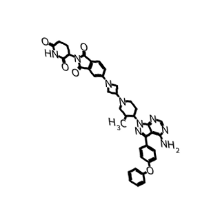 CC1CN(C2CN(c3ccc4c(c3)C(=O)N(C3CCC(=O)NC3=O)C4=O)C2)CCC1n1nc(-c2ccc(Oc3ccccc3)cc2)c2c(N)ncnc21